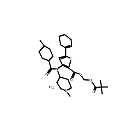 CC1CCC(C(=O)N(c2cc(C3=CCCCC3)sc2C(=O)OCOC(=O)C(C)(C)C)C2CCN(C)CC2)CC1.Cl